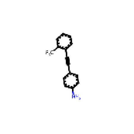 Nc1ccc(C#Cc2ccccc2C(F)(F)F)cc1